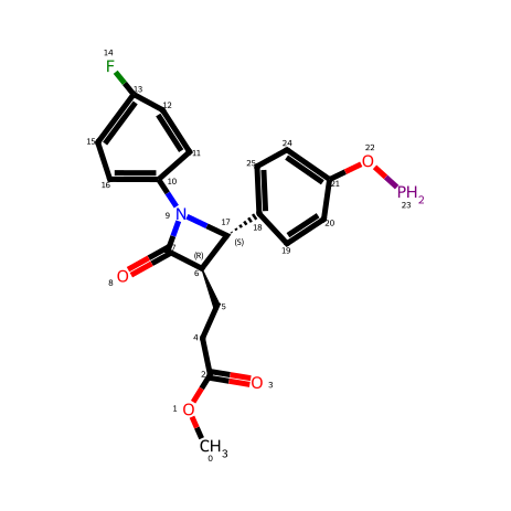 COC(=O)CC[C@H]1C(=O)N(c2ccc(F)cc2)[C@@H]1c1ccc(OP)cc1